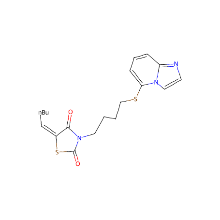 CCCCC=C1SC(=O)N(CCCCSc2cccc3nccn23)C1=O